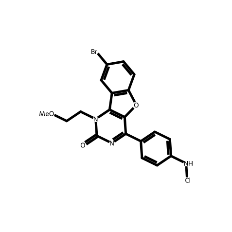 COCCn1c(=O)nc(-c2ccc(NCl)cc2)c2oc3ccc(Br)cc3c21